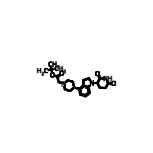 CC(C)(C)OC(=O)CN1CCC(c2cccc3c2CCN3C2CCC(=O)NC2=O)CC1